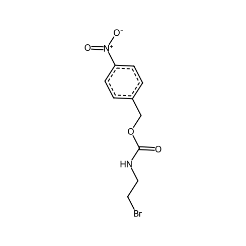 O=C(NCCBr)OCc1ccc([N+](=O)[O-])cc1